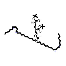 CCCCC/C=C\C/C=C\CCCCCCCCN(CCCCCCCC/C=C\C/C=C\CCCCC)C(=O)OCCN(CCNC(=O)OC(C)(C)C)C(=O)OC(C)(C)C